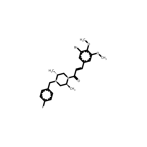 COc1cc(C=CC(=O)N2C[C@@H](C)N(Cc3ccc(F)cc3)C[C@@H]2C)cc(Br)c1OC